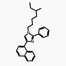 CCC(C)CCCCn1cc(-c2cccc3ccccc23)nc1-c1ccccc1